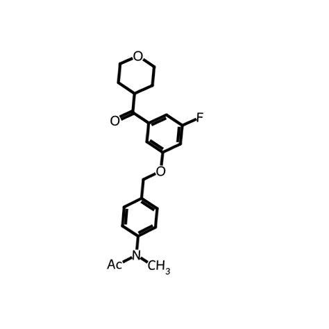 CC(=O)N(C)c1ccc(COc2cc(F)cc(C(=O)C3CCOCC3)c2)cc1